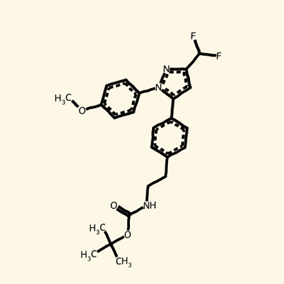 COc1ccc(-n2nc(C(F)F)cc2-c2ccc(CCNC(=O)OC(C)(C)C)cc2)cc1